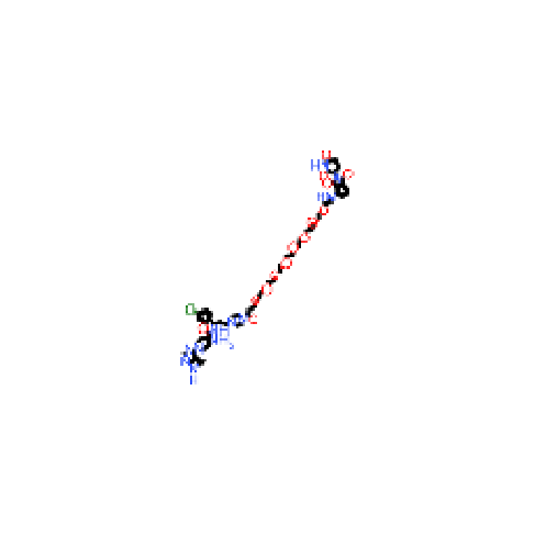 NC1(C(=O)NC(CCN2CCN(C(=O)CCOCCOCCOCCOCCOCCOCCOCCOCCNc3cccc4c3C(=O)N(C3CCC(=O)NC3=O)C4=O)CC2)c2ccc(Cl)cc2)CCN(c2ncnc3[nH]ccc23)CC1